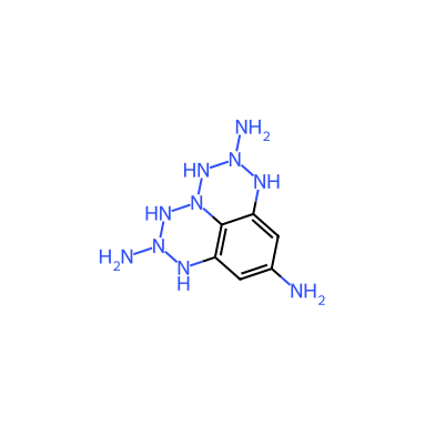 Nc1cc2[nH]n(N)[nH]n3[nH]n(N)[nH]c(c1)c23